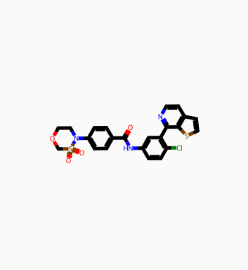 O=C(Nc1ccc(Cl)c(-c2nccc3ccsc23)c1)c1ccc(N2CCOCS2(=O)=O)cc1